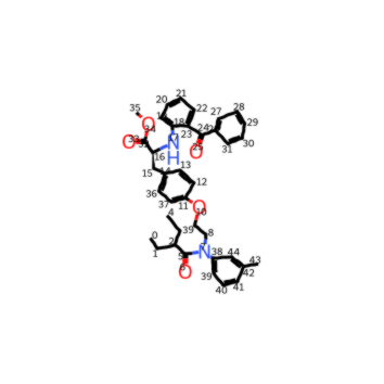 CCC(CC)C(=O)N(CCOc1ccc(C[C@H](Nc2ccccc2C(=O)c2ccccc2)C(=O)OC)cc1)c1cccc(C)c1